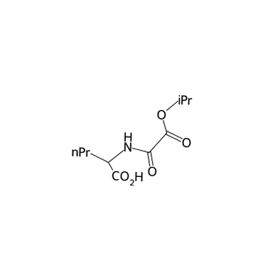 CCCC(NC(=O)C(=O)OC(C)C)C(=O)O